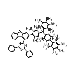 Bc1c(B)c(B)c(-c2c(B)c(B)c(N(c3c(B)c(B)c(B)c(B)c3B)c3c(B)c(B)c(-c4cc(-c5nc(-c6ccccc6)nc(-c6ccccc6)n5)c5c(c4)sc4ccccc45)c(B)c3B)c(B)c2B)c(B)c1B